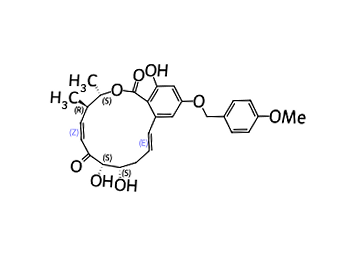 COc1ccc(COc2cc(O)c3c(c2)/C=C/C[C@H](O)[C@H](O)C(=O)/C=C\[C@@H](C)[C@H](C)OC3=O)cc1